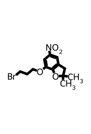 CC1(C)Cc2cc([N+](=O)[O-])cc(OCCCBr)c2O1